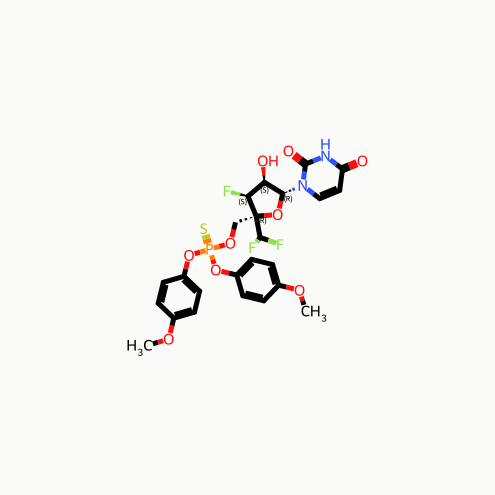 COc1ccc(OP(=S)(OC[C@@]2(C(F)F)O[C@@H](n3ccc(=O)[nH]c3=O)[C@H](O)[C@@H]2F)Oc2ccc(OC)cc2)cc1